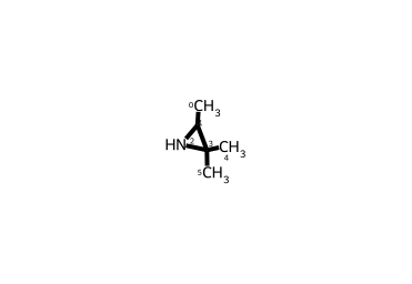 CC1NC1(C)C